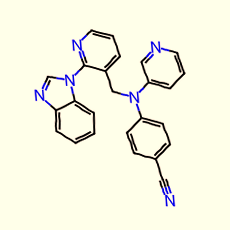 N#Cc1ccc(N(Cc2cccnc2-n2cnc3ccccc32)c2cccnc2)cc1